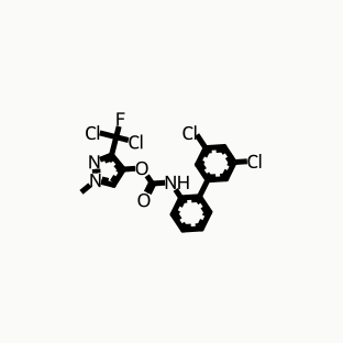 Cn1cc(OC(=O)Nc2ccccc2-c2cc(Cl)cc(Cl)c2)c(C(F)(Cl)Cl)n1